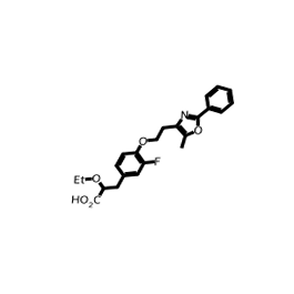 CCOC(Cc1ccc(OCCc2nc(-c3ccccc3)oc2C)c(F)c1)C(=O)O